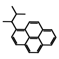 C[C](c1ccc2ccc3cccc4ccc1c2c34)C(C)C